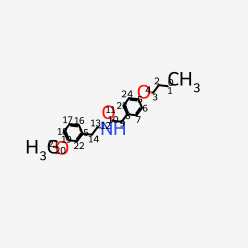 CCCCOc1ccc(CC(=O)NCCc2cccc(OC)c2)cc1